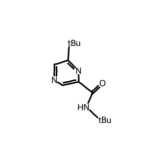 CC(C)(C)NC(=O)c1cncc(C(C)(C)C)n1